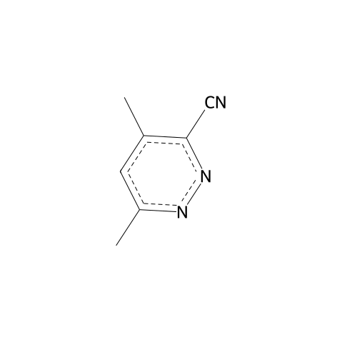 Cc1cc(C)c(C#N)nn1